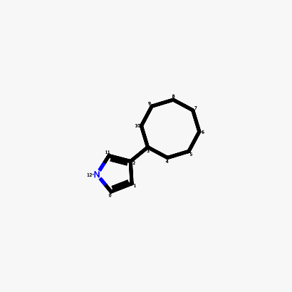 C1=CC(C2CCCCCCC2)=C[N]1